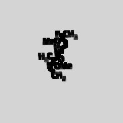 C=C/C=N\C(OC)=C(/C)C(=O)NCC/C=C\C(OC)=C(/C)F